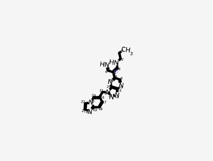 CCCN/C=C(\C=N)c1cnc2nnn(Cc3ccc4nccn4c3)c2n1